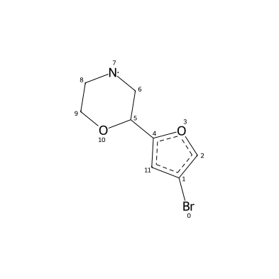 Brc1coc(C2C[N]CCO2)c1